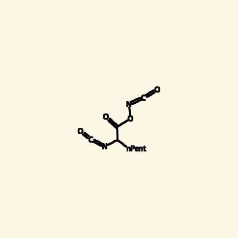 CCCCCC(N=C=O)C(=O)ON=C=O